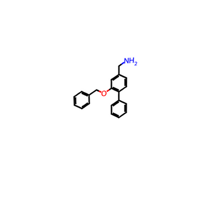 NCc1ccc(-c2ccccc2)c(OCc2ccccc2)c1